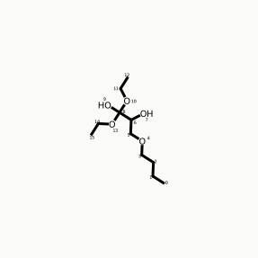 CCCCOCC(O)C(O)(OCC)OCC